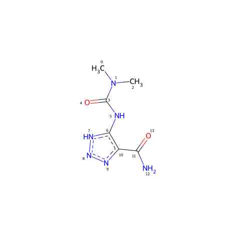 CN(C)C(=O)Nc1[nH]nnc1C(N)=O